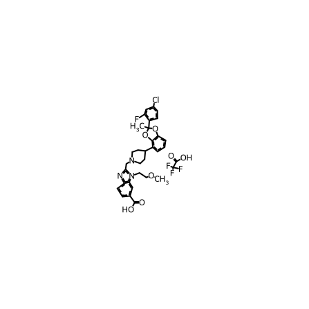 COCCn1c(CN2CCC(c3cccc4c3OC(C)(c3ccc(Cl)cc3F)O4)CC2)nc2ccc(C(=O)O)cc21.O=C(O)C(F)(F)F